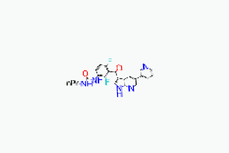 CCCNC(=O)Nc1ccc(F)c(C(=O)c2c[nH]c3ncc(-c4cccnc4)cc23)c1F